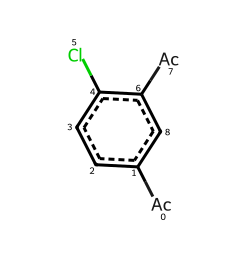 CC(=O)c1ccc(Cl)c(C(C)=O)c1